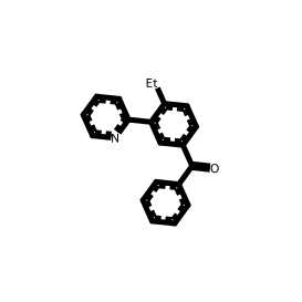 CCc1ccc(C(=O)c2ccccc2)cc1-c1ccccn1